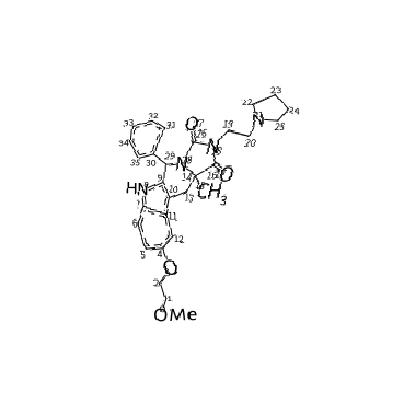 COCCOc1ccc2[nH]c3c(c2c1)CC1(C)C(=O)N(CCN2CCCC2)C(=O)N1C3c1ccccc1